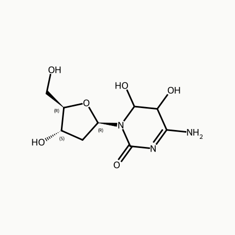 NC1=NC(=O)N([C@H]2C[C@H](O)[C@@H](CO)O2)C(O)C1O